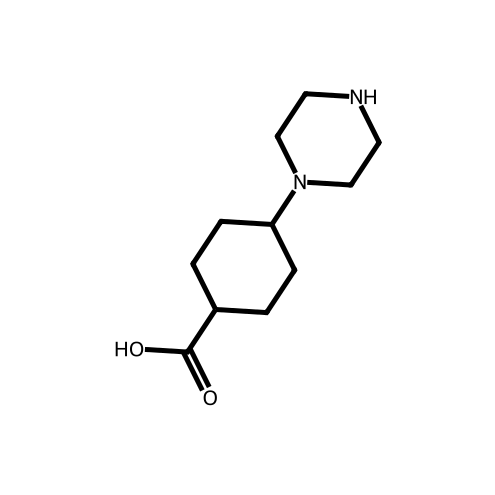 O=C(O)C1CCC(N2CCNCC2)CC1